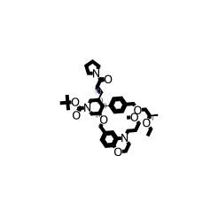 CCO[C@H](C)COCc1ccc([C@H]2[C@H](/C=C/C(=O)N3CCCC3)CN(C(=O)OC(C)(C)C)C[C@@H]2OCc2ccc3c(c2)N(CCCOC)CCO3)cc1